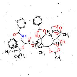 CC(=O)O[C@H]1C(=O)[C@]2(C)[C@@H](O)CC3OC[C@@]3(OC(C)=O)[C@H]2[C@H](OC(=O)c2ccccc2)[C@]2(O)C[C@H](OC(=O)[C@H](O[Si](C)(C)C(C)(C)C)[C@@H](NC(=O)c3ccccc3)c3ccccc3)C(C)=C1C2(C)C